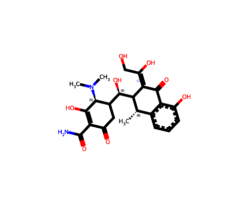 C[C@H]1c2cccc(O)c2C(=O)/C(=C(\O)CO)C1[C@H](O)C1CC(=O)C(C(N)=O)=C(O)[C@H]1N(C)C